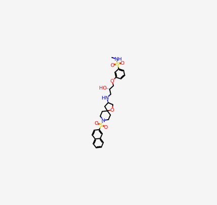 CNS(=O)(=O)c1cccc(OC[C@@H](O)CN[C@H]2COC3(CCN(S(=O)(=O)c4ccc5ccccc5c4)CC3)C2)c1